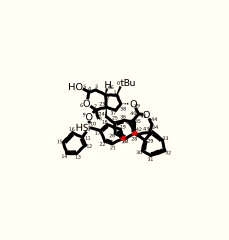 CC(C)(C)[C@@H]1[C@H]2CC(O)OC(C)(O[SiH](c3ccccc3)c3ccccc3)[C@@]2(Cc2ccc(-c3ccccc3)cc2)C[C@H]1OC1CCCCO1